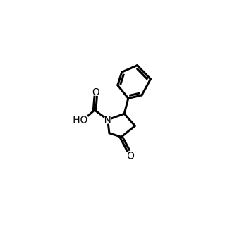 O=C1CC(c2ccccc2)N(C(=O)O)C1